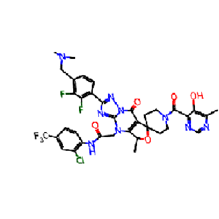 Cc1ncnc(C(=O)N2CCC3(CC2)OC(C)c2c3c(=O)n3nc(-c4ccc(CN(C)C)c(F)c4F)nc3n2CC(=O)Nc2ccc(C(F)(F)F)cc2Cl)c1O